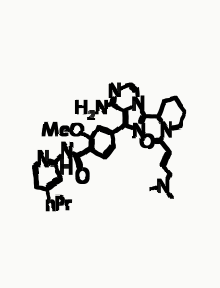 CCCc1ccnc(NC(=O)c2ccc(-c3nc(C4CCCCN4C(=O)C=CCN(C)C)n4ccnc(N)c34)cc2OC)c1